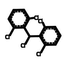 Clc1cccc(Cl)c1C(Cl)c1c(Cl)cccc1Cl